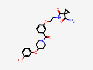 NC(=O)C1(C(=O)NCCOc2cccc(C(=O)N3CCC(Oc4cccc(O)c4)CC3)c2)CC1